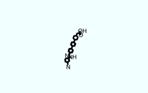 N#Cc1ccc2nc(-c3ccc(-c4ccc(C5CCC(CC(=O)O)CC5)cc4)cc3)[nH]c2c1